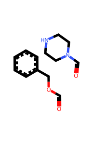 O=CN1CCNCC1.O=COCc1ccccc1